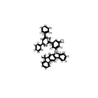 CC1(C)c2ccccc2-c2cc3c4ccccc4n(-c4cc(Cl)cc(-c5nc(-c6ccccc6)cc(-c6ccccc6)n5)c4)c3cc21